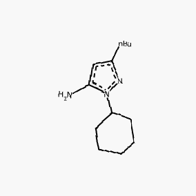 CCCCc1cc(N)n(C2CCCCC2)n1